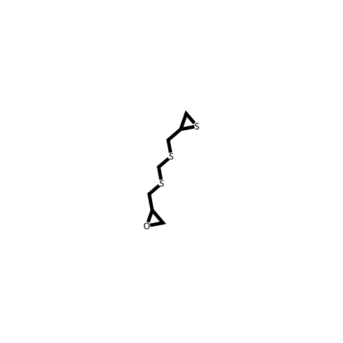 C(SCC1CO1)SCC1CS1